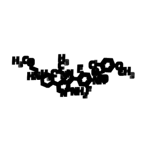 COCCNC1CCC(c2cnc(N)c3c(-c4cc(F)c(NS(=O)(=O)c5cc(OC)ccc5Cl)cc4F)nn(C(C)C)c23)CC1